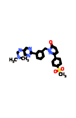 CN(C)/C=N\c1cnc(-c2cccc(Cn3nc(-c4ccc(S(C)(=O)=O)cc4)ccc3=O)c2)nc1